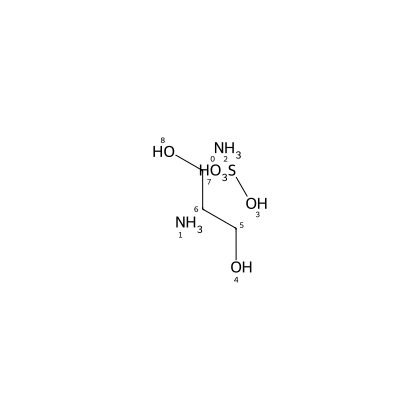 N.N.O=S(=O)(O)O.OCCCO